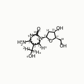 [2H]c1c(C([2H])([2H])O)c(N)nc(=O)n1[C@H]1C[C@@H](O)[C@@H](CO)O1